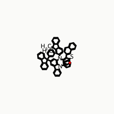 CC1(C)c2ccccc2-c2ccc(N(c3cccc4sc5c6ccccc6ccc5c34)c3cc(C4(c5ccccc5)c5ccccc5-c5ccccc54)cc4c5ccccc5n(-c5ccccc5)c34)cc21